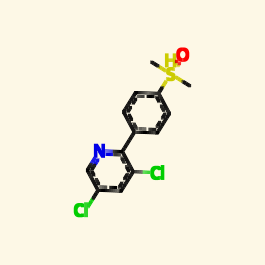 C[SH](C)(=O)c1ccc(-c2ncc(Cl)cc2Cl)cc1